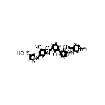 Cc1c(-c2nc3cc(CN4CC[C@@H](C(=O)O)C4)cc(C#N)c3o2)cccc1-c1cccc(-n2cc3c(n2)CN(C(C)C)CC3)c1Cl